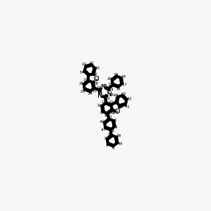 c1ccc(-c2ccc(-c3ccc(-c4nc(-c5ccccc5)nc(-c5cccc6c5oc5ccccc56)n4)c4c3oc3ccccc34)cc2)cc1